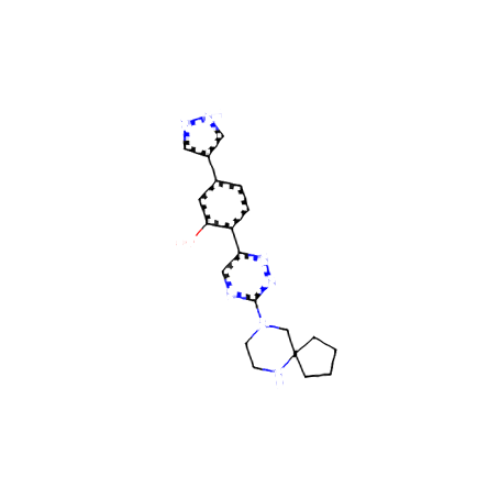 Oc1cc(-c2cn[nH]c2)ccc1-c1cnc(N2CCNC3(CCCC3)C2)nn1